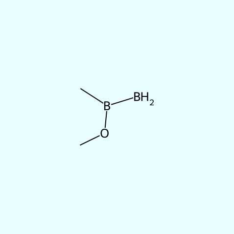 BB(C)OC